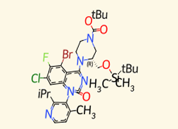 Cc1ccnc(C(C)C)c1-n1c(=O)nc(N2CCN(C(=O)OC(C)(C)C)C[C@@H]2CO[Si](C)(C)C(C)(C)C)c2c(Br)c(F)c(Cl)cc21